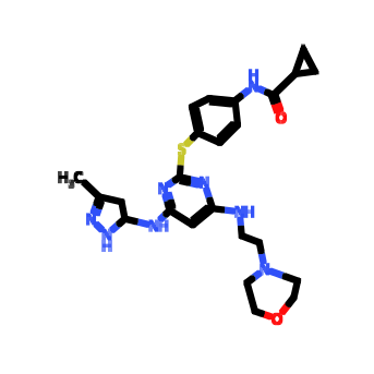 CC1=NNC(Nc2cc(NCCN3CCOCC3)nc(Sc3ccc(NC(=O)C4CC4)cc3)n2)C1